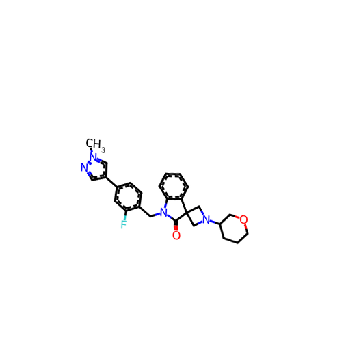 Cn1cc(-c2ccc(CN3C(=O)C4(CN(C5CCCOC5)C4)c4ccccc43)c(F)c2)cn1